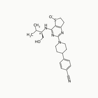 CC(C)[C@H](CO)Nc1nc(N2CCC(c3ccc(C#N)cc3)CC2)nc2c1[S+]([O-])CC2